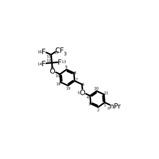 CCCc1ccc(OCc2ccc(OC(F)(F)C(F)C(F)(F)F)cc2)cc1